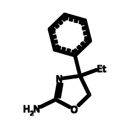 CCC1(c2ccccc2)COC(N)=N1